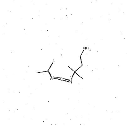 CC(I)N=C=NC(C)(C)CCN